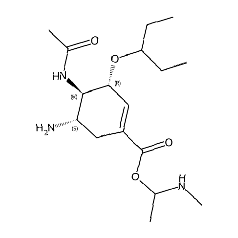 CCC(CC)O[C@@H]1C=C(C(=O)OC(C)NC)C[C@H](N)[C@H]1NC(C)=O